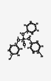 Cc1ccc(OP(=O)(Oc2ccccc2)Oc2ccc(C)cc2)cc1